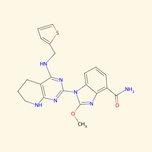 COc1nc2c(C(N)=O)cccc2n1-c1nc2c(c(NCc3cccs3)n1)CCCN2